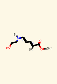 CCCCCCCCOC(=O)/C(C#N)=C/C=C/N(CC)CCO